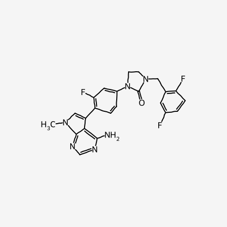 Cn1cc(-c2ccc(N3CCN(Cc4cc(F)ccc4F)C3=O)cc2F)c2c(N)ncnc21